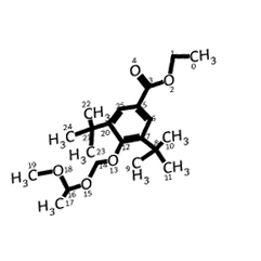 CCOC(=O)c1cc(C(C)(C)C)c(OCOC(C)OC)c(C(C)(C)C)c1